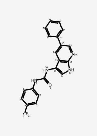 O=C(Nc1ccc(C(F)(F)F)cc1)Nc1c[nH]c2ncc(-c3ccccc3)cc12